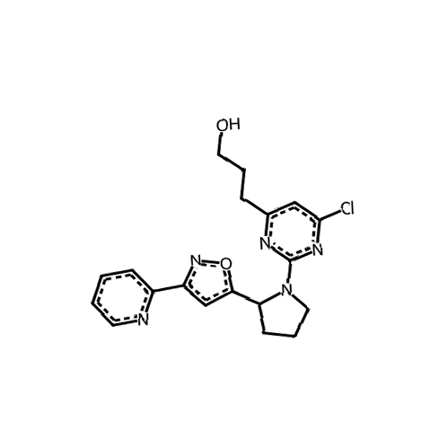 OCCCc1cc(Cl)nc(N2CCCC2c2cc(-c3ccccn3)no2)n1